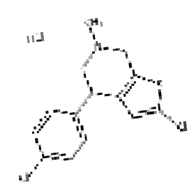 CN1Cc2sc(Cl)cc2C(c2ccc(Cl)cc2)C1.Cl